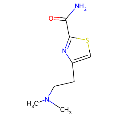 CN(C)CCc1csc(C(N)=O)n1